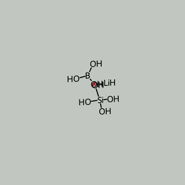 OB(O)O.O[Si](O)(O)O.[LiH]